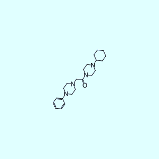 O=C(CN1CCN(c2ccccc2)CC1)N1CCN(C2CCCCC2)CC1